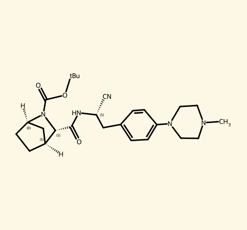 CN1CCN(c2ccc(C[C@@H](C#N)NC(=O)[C@@H]3[C@H]4CC[C@H](C4)N3C(=O)OC(C)(C)C)cc2)CC1